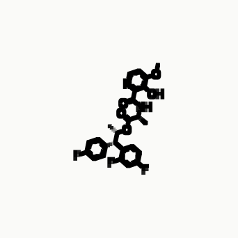 COc1ccnc(C(=O)N[C@@H](C)C(=O)O[C@@H](C)[C@@H](c2ccc(F)cc2)c2ccc(F)cc2F)c1O